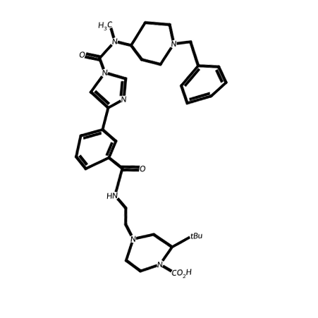 CN(C(=O)n1cnc(-c2cccc(C(=O)NCCN3CCN(C(=O)O)C(C(C)(C)C)C3)c2)c1)C1CCN(Cc2ccccc2)CC1